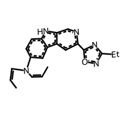 C/C=C\N(/C=C\C)c1ccc2[nH]c3cnc(-c4nc(CC)no4)cc3c2c1